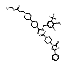 CCOC(=O)CCN1CCC(C2CCN(C(=O)[C@@H](Cc3cc(Cl)c(N)c(C(F)(F)F)c3)OC(=O)N3CCC(n4nc(-c5ccccc5)[nH]c4=O)CC3)CC2)CC1